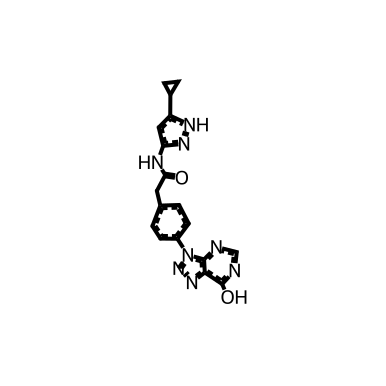 O=C(Cc1ccc(-n2nnc3c(O)ncnc32)cc1)Nc1cc(C2CC2)[nH]n1